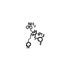 CC(C)c1nc(COC(N)=O)n(CCCc2ccncc2)c1Sc1cc(F)cc(F)c1